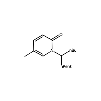 CCCCCC(CCCC)n1cc(C)ccc1=O